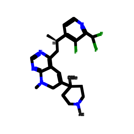 COC1(C2=Cc3c(C[C@H](C)c4ccnc(C(F)F)c4F)ncnc3N(C)C2)CCN(C(C)=O)CC1